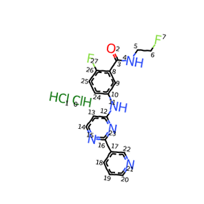 Cl.Cl.O=C(NCCF)c1cc(Nc2ccnc(-c3cccnc3)n2)ccc1F